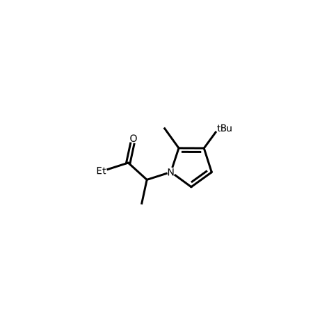 CCC(=O)C(C)n1ccc(C(C)(C)C)c1C